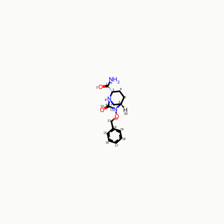 NC(=O)[C@@H]1CC[C@H]2CN1C(=O)N2OCc1ccccc1